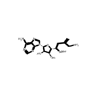 C=C(CN)CC(NC)[C@H]1O[C@@H](n2cnc3c(N)ncnc32)[C@H](O)[C@@H]1O